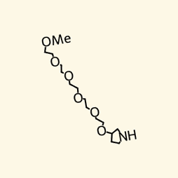 COCCOCCOCCOCCOCCOC1CCNC1